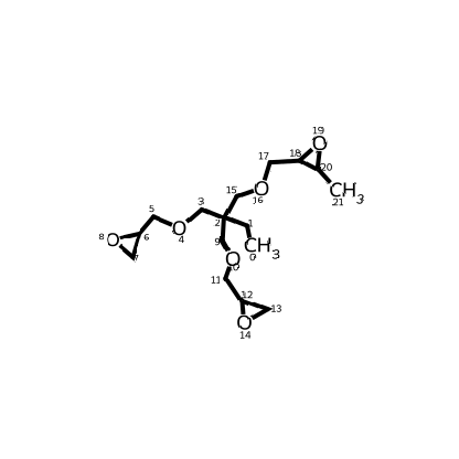 CCC(COCC1CO1)(COCC1CO1)COCC1OC1C